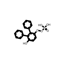 O=P(O)(O)OOc1ccc(O)c(-c2ccccc2)c1-c1ccccc1